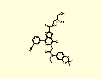 CCN(C(=O)Cn1nc(-c2cccc(C#N)c2)c2oc(C(=O)NC[C@@H](O)CO)cc2c1=O)c1ccc2c(c1)OC(F)(F)O2